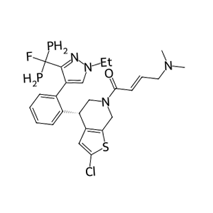 CCn1cc(-c2ccccc2[C@@H]2CN(C(=O)/C=C/CN(C)C)Cc3sc(Cl)cc32)c(C(F)(P)P)n1